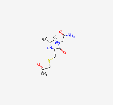 CC(=O)CSCC(NC(C)C)C(=O)NCC(N)=O